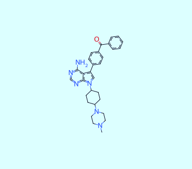 CN1CCN(C2CCC(n3cc(-c4ccc(C(=O)c5ccccc5)cc4)c4c(N)ncnc43)CC2)CC1